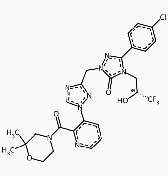 CC1(C)CN(C(=O)c2ncccc2-n2cnc(Cn3nc(-c4ccc(Cl)cc4)n(C[C@@H](O)C(F)(F)F)c3=O)n2)CCO1